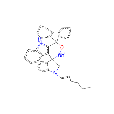 CCCCC=CN1CC2(NOC(c3ccccc3)(c3ccccc3)c3[nH]c4ccccc4c32)c2ccccc21